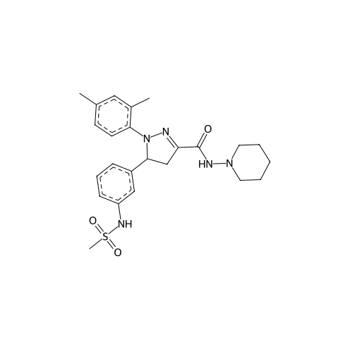 Cc1ccc(N2N=C(C(=O)NN3CCCCC3)CC2c2cccc(NS(C)(=O)=O)c2)c(C)c1